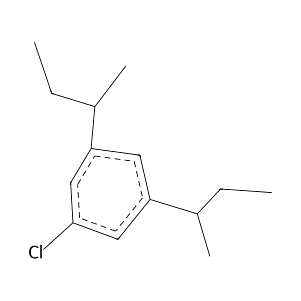 CCC(C)c1cc(Cl)cc(C(C)CC)c1